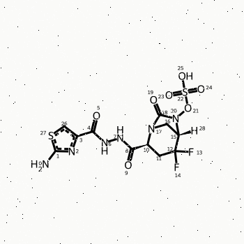 Nc1nc(C(=O)NNC(=O)[C@@H]2CC(F)(F)[C@@H]3CN2C(=O)N3OS(=O)(=O)O)cs1